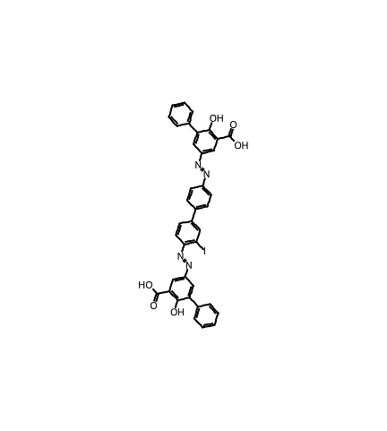 O=C(O)c1cc(/N=N/c2ccc(-c3ccc(/N=N/c4cc(C(=O)O)c(O)c(-c5ccccc5)c4)c(I)c3)cc2)cc(-c2ccccc2)c1O